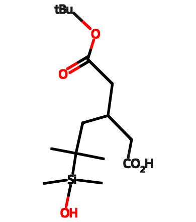 CC(C)(C)OC(=O)CC(CC(=O)O)CC(C)(C)[Si](C)(C)O